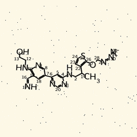 CC(CNc1cc(-c2cnc(NCCO)c(C=N)c2)ncn1)c1ccsc1OCN=[N+]=[N-]